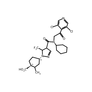 CC1C[C@@H](N2N=CC(C(=O)N(CC(=O)c3c(Cl)cncc3Cl)C3CCCCC3)C2C(F)(F)F)CC[C@@H]1C(=O)O